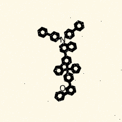 c1ccc(-c2ccc(N(c3ccc(-c4ccccc4)cc3)c3ccc(-c4ccc5c(c4)-c4ccccc4C5(c4ccccc4)c4ccc(-c5cccc6c5oc5ccccc56)cc4)c4ccccc34)cc2)cc1